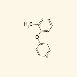 Cc1ccccc1Oc1ccncc1